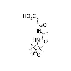 CC(NC(=O)CCC(=O)O)C(=O)NC1C(C)(C)S(=O)(=O)C1(C)C